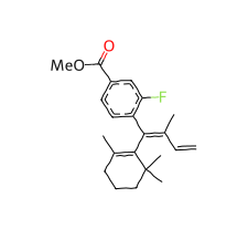 C=CC(C)=C(C1=C(C)CCCC1(C)C)c1ccc(C(=O)OC)cc1F